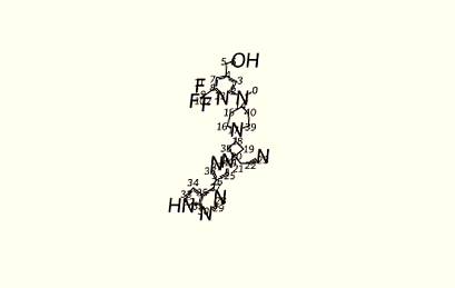 CN(c1cc(CO)cc(C(F)(F)F)n1)C1CCN(C2CC(CC#N)(n3cc(-c4ncnc5[nH]ccc45)cn3)C2)CC1